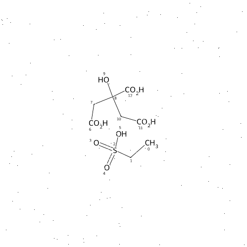 CCS(=O)(=O)O.O=C(O)CC(O)(CC(=O)O)C(=O)O